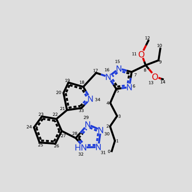 CCCCCc1nc(C(CC)(OC)OC)nn1Cc1ccc(-c2ccccc2-c2nnn[nH]2)cn1